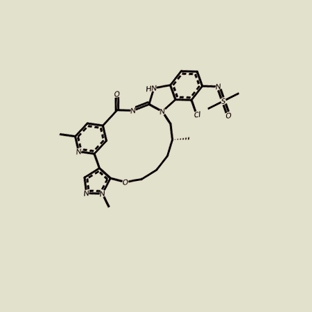 Cc1cc2cc(n1)-c1cnn(C)c1OCCC[C@@H](C)CN1/C(=N/C2=O)Nc2ccc(N=S(C)(C)=O)c(Cl)c21